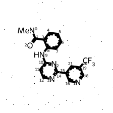 CNC(=O)c1ccccc1Nc1ccnc(-c2cncc(C(F)(F)F)c2)n1